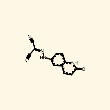 N#CC(C#N)=NNc1ccc2[nH]c(=O)ccc2c1